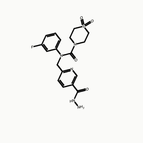 NNC(=O)c1ccc(CN(C(=O)N2CCS(=O)(=O)CC2)c2cccc(F)c2)nc1